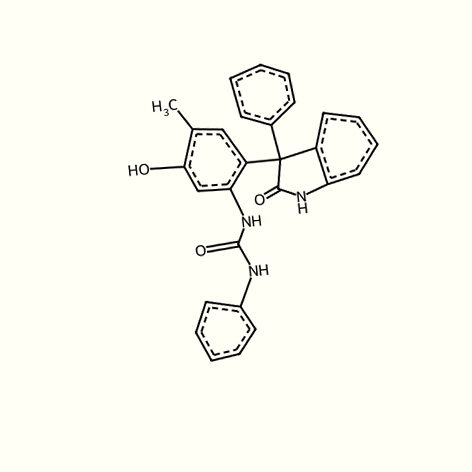 Cc1cc(C2(c3ccccc3)C(=O)Nc3ccccc32)c(NC(=O)Nc2ccccc2)cc1O